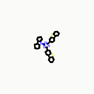 c1ccc2c(c1)sc1cc(-c3nc(-c4ccc5c(c4)sc4ccccc45)nc(-n4c5ccccc5c5ccccc54)n3)ccc12